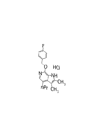 CCCc1cnc(OCc2ccc(F)cc2)c2[nH]c(C)c(C)c12.Cl